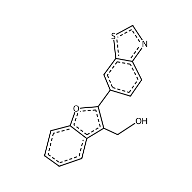 OCc1c(-c2ccc3ncsc3c2)oc2ccccc12